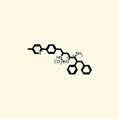 Cc1ccc(-c2ccc(CC(C[C@H](O)[C@@H](N)C(Cc3ccccc3)c3ccccc3)NC(=O)O)cc2)nc1